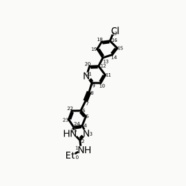 CCNc1nc2cc(C#Cc3ccc(-c4ccc(Cl)cc4)cn3)ccc2[nH]1